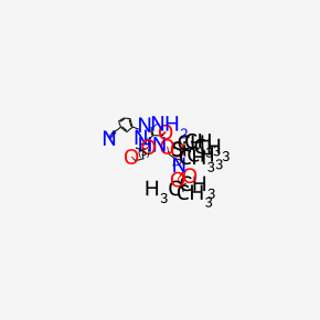 CC(C)(C)OC(=O)N1CC(CONC(=O)c2c(N)nc(-c3cccc(C#N)c3)nc2O[C@H]2CCOC2)(O[Si](C)(C)C(C)(C)C)C1